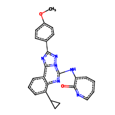 COc1ccc(-c2nc3c4cccc(C5CC5)c4nc(Nc4ccccnc4=O)n3n2)cc1